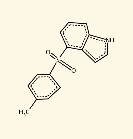 Cc1ccc(S(=O)(=O)c2cccc3[nH]ccc23)cc1